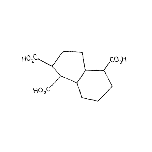 O=C(O)C1CCCC2C1CCC(C(=O)O)C2C(=O)O